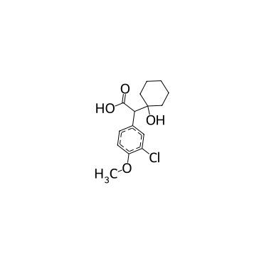 COc1ccc(C(C(=O)O)C2(O)CCCCC2)cc1Cl